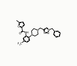 Cc1ccc(C(=O)Nc2cc(C(F)(F)F)ccc2N2CCN(Cc3cn(Cc4ccccc4)nn3)CC2)o1